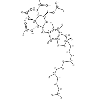 CC(=O)OC[C@H]1O[C@@H](Oc2c(C)c(C)c3c(c2C)CC[C@@](C)(CCCC(C)CCCC(C)CCCC(C)C)O3)[C@H](OC(C)=O)[C@@H](OC(C)=O)[C@@H]1OC(C)=O